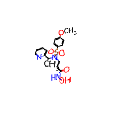 COc1ccc(S(=O)(=O)N(CCC(=O)NO)C(C)c2ccccn2)cc1